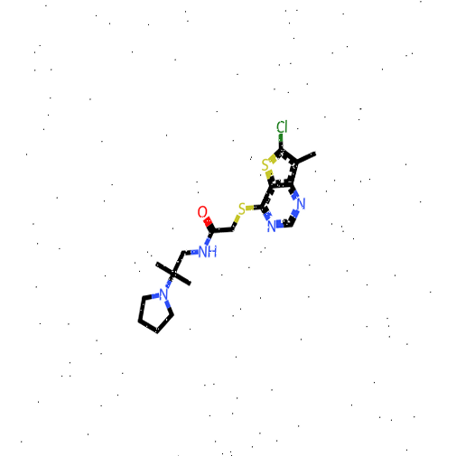 Cc1c(Cl)sc2c(SCC(=O)NCC(C)(C)N3CCCC3)ncnc12